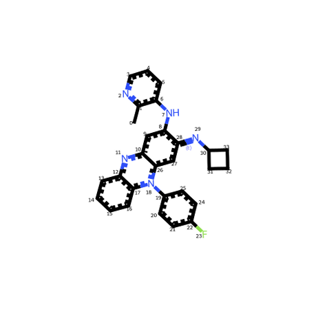 Cc1ncccc1Nc1cc2nc3ccccc3n(-c3ccc(F)cc3)c-2c/c1=N\C1CCC1